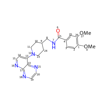 COc1ccc(C(=O)NCC2CCN(c3ccnc4nccnc34)CC2)cc1OC